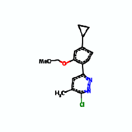 COCOc1cc(C2CC2)ccc1-c1cc(C)c(Cl)nn1